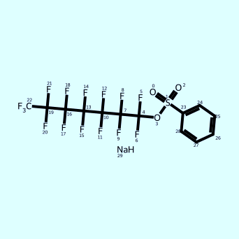 O=S(=O)(OC(F)(F)C(F)(F)C(F)(F)C(F)(F)C(F)(F)C(F)(F)C(F)(F)F)c1ccccc1.[NaH]